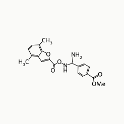 COC(=O)c1ccc(C(N)NOC(=O)c2cc3c(C)ccc(C)c3o2)cc1